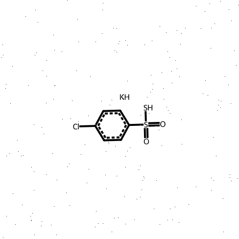 O=S(=O)(S)c1ccc(Cl)cc1.[KH]